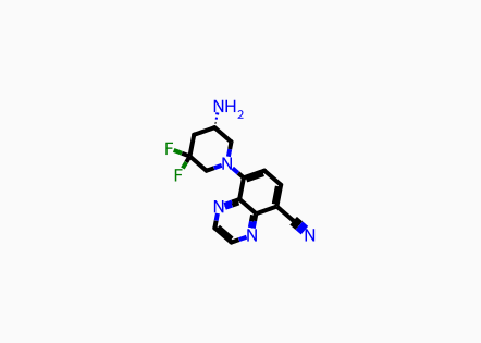 N#Cc1ccc(N2C[C@@H](N)CC(F)(F)C2)c2nccnc12